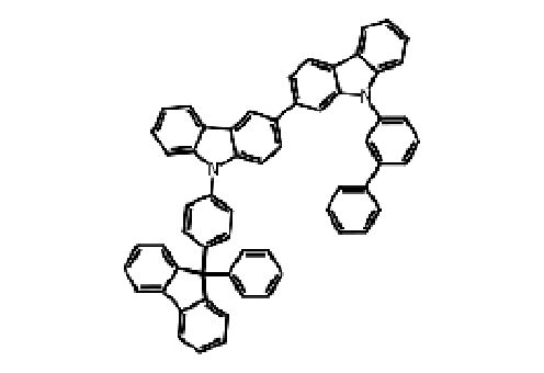 c1ccc(-c2cccc(-n3c4ccccc4c4ccc(-c5ccc6c(c5)c5ccccc5n6-c5ccc(C6(c7ccccc7)c7ccccc7-c7ccccc76)cc5)cc43)c2)cc1